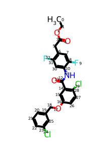 CCOC(=O)Cc1cc(F)c(NC(=O)c2cc(OCc3cccc(Cl)c3)ccc2Cl)cc1F